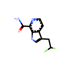 NC(=O)c1nccc2c1[N]C=C2CC(F)F